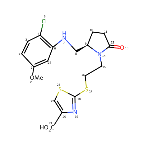 COc1ccc(Cl)c(NC[C@H]2CCC(=O)N2CCSc2nc(C(=O)O)cs2)c1